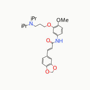 COc1ccc(NC(=O)C=Cc2ccc3c(c2)OCO3)cc1OCCCN(C(C)C)C(C)C